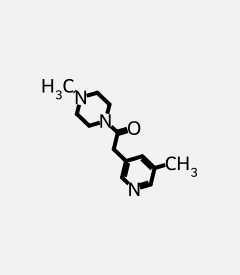 Cc1cncc(CC(=O)N2CCN(C)CC2)c1